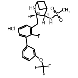 CS(=O)(=O)N[C@H]1C2CC(C2)N[C@H]1Cc1cccc(-c2cccc(OC(F)(F)F)c2)c1F.Cl